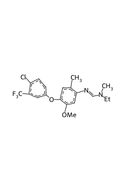 CCN(C)/C=N/c1cc(OC)c(Oc2ccc(Cl)c(C(F)(F)F)c2)cc1C